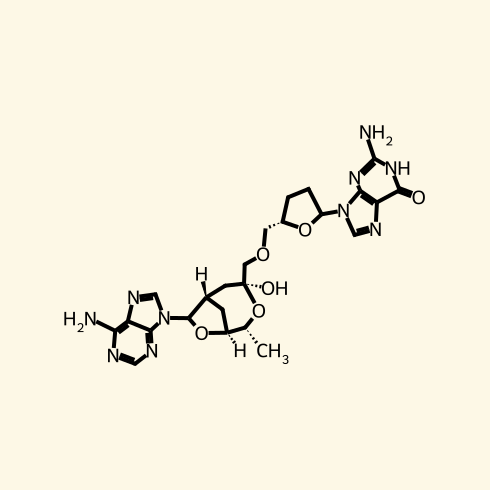 C[C@H]1O[C@](O)(COC[C@@H]2CCC(n3cnc4c(=O)[nH]c(N)nc43)O2)C[C@@H]2C[C@@H]1OC2n1cnc2c(N)ncnc21